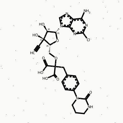 C#C[C@@]1(O)[C@@H](COC(Cc2ccc(N3CCCNC3=O)cc2)(C(=O)O)C(=O)O)O[C@@H](n2cnc3c(N)nc(Cl)nc32)[C@@H]1O